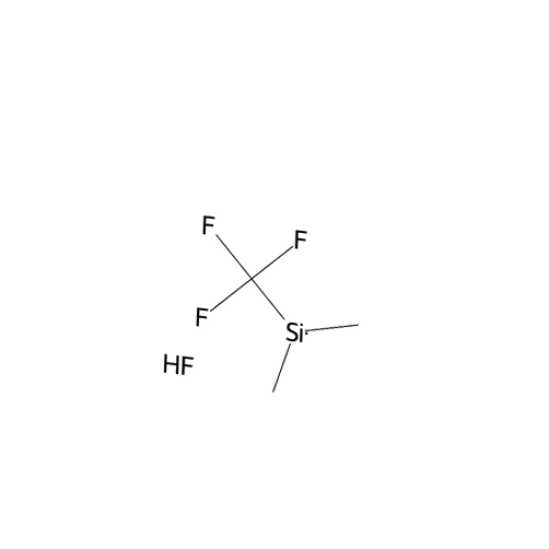 C[Si](C)C(F)(F)F.F